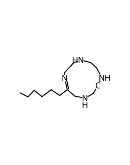 CCCCCCC1=NCCNCCNCCNC1